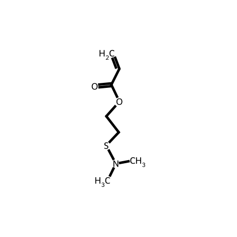 C=CC(=O)OCCSN(C)C